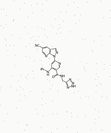 CC(C)Nc1cc(-n2ncc3cc(C#N)cnc32)ncc1C(=O)NCc1nn[nH]n1